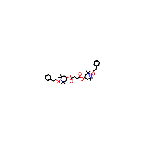 CC1(C)CC(OC(=O)CCC(=O)OC2CC(C)(C)N(OCCc3ccccc3)C(C)(C)C2)CC(C)(C)N1OCCc1ccccc1